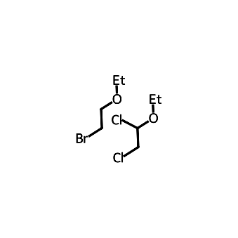 CCOC(Cl)CCl.CCOCCBr